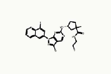 CC1(C(=O)NCCF)CC[C@@H](Nc2ncc3c(Br)nn(-c4cc(F)c5ncccc5c4)c3n2)C1